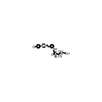 C#CCNC(=O)C(C#N)=c1sc(=CNc2cccc(CCN3CCN(c4ccc(Cl)cc4)CC3)c2)c(=O)n1CC